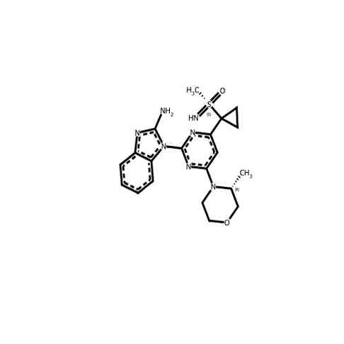 C[C@@H]1COCCN1c1cc(C2([S@@](C)(=N)=O)CC2)nc(-n2c(N)nc3ccccc32)n1